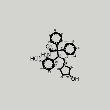 Cl.NC(=O)C(c1ccccc1)(c1ccccc1)[C@@H](CN1CC[C@H](O)C1)c1ccccc1